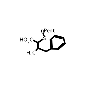 CCCCCSC(C(=O)O)C(C)Cc1ccccc1